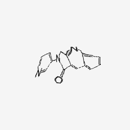 O=C1c2cc3ccccc3nc2CN1c1cccnc1